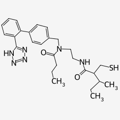 CCCC(=O)N(CCNC(=O)C(CS)C(C)CC)Cc1ccc(-c2ccccc2-c2nnn[nH]2)cc1